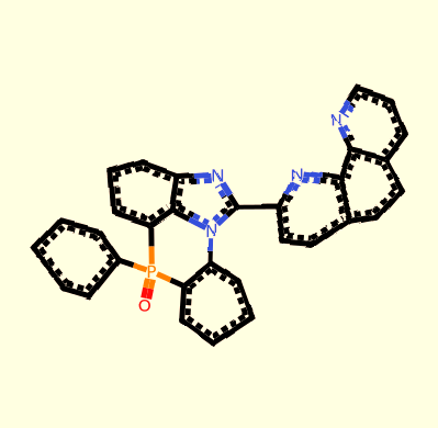 O=P1(c2ccccc2)c2ccccc2-n2c(-c3ccc4ccc5cccnc5c4n3)nc3cccc1c32